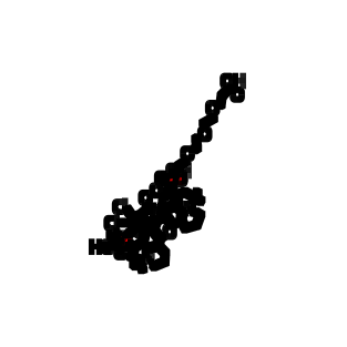 CC1(C)C=C(CS(=O)(=O)O)c2cc3c(c4c2N1CCC4)Oc1c(cc2c4c1CCCN4C(C)(C)CC2CS(=O)(=O)O)C31c2c(Cl)c(Cl)c(Cl)c(Cl)c2C(=O)N1NC(=O)CCOCCOCCOCCOCCC(=O)O